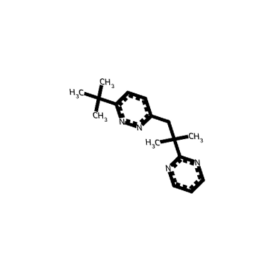 CC(C)(C)c1ccc(CC(C)(C)c2ncccn2)nn1